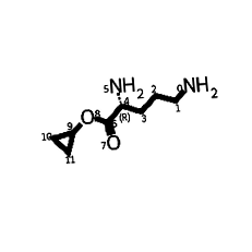 NCCC[C@@H](N)C(=O)OC1CC1